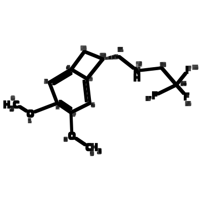 COc1cc2c(cc1OC)[C@@H](CNCC(F)(F)F)C2